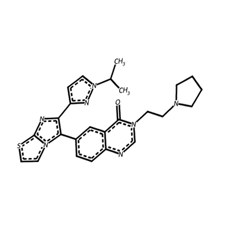 CC(C)n1ccc(-c2nc3sccn3c2-c2ccc3ncn(CCN4CCCC4)c(=O)c3c2)n1